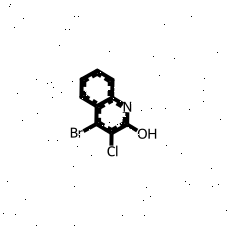 Oc1nc2ccccc2c(Br)c1Cl